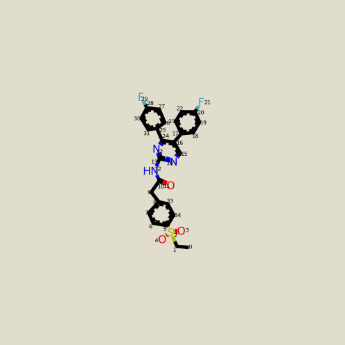 CCS(=O)(=O)c1ccc(CC(=O)Nc2ncc(-c3ccc(F)cc3)c(-c3ccc(F)cc3)n2)cc1